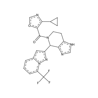 O=C(c1ocnc1C1CC1)N1CCc2[nH]cnc2C1c1cc2cccc(C(F)(F)F)n2n1